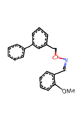 COc1ccccc1/[C]=N\OCc1cccc(-c2ccccc2)c1